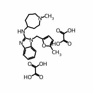 Cc1ccc(Cn2c(NC3CCCN(C)CC3)nc3ccccc32)o1.O=C(O)C(=O)O.O=C(O)C(=O)O